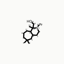 CC(C)N1CCC2CC(C)(C)CCCC2C1(C)CO